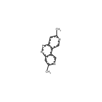 Cc1cc2npc3cc(C)ncc3c2cn1